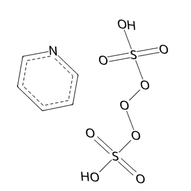 O=S(=O)(O)OOOS(=O)(=O)O.c1ccncc1